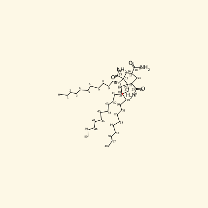 CCCCCCCCCCCCC1(C(N)=O)CC(C(N)=O)CC(C(N)=O)C1(CCCCCCCCCCCC)CCCCCCCCCCCC